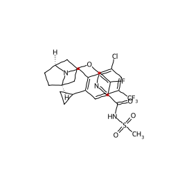 CS(=O)(=O)NC(=O)c1cc(C2CC2)c(CN2[C@@H]3CC[C@H]2CC(Oc2ncc(C(F)(F)F)cc2Cl)C3)cc1F